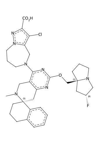 CN1Cc2c(nc(OC[C@@]34CCCN3C[C@H](F)C4)nc2N2CCCn3nc(C(=O)O)c(Cl)c3C2)C[C@]12CCCc1ccccc12